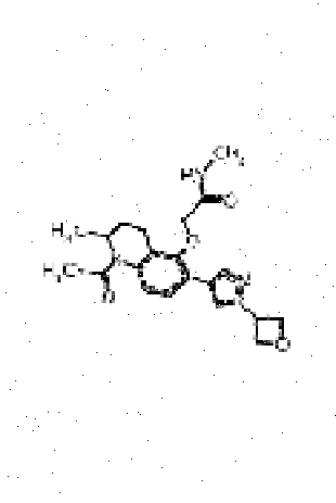 CNC(=O)COc1c(-c2cnn(C3COC3)c2)ccc2c1CC[C@H](C)N2C(C)=O